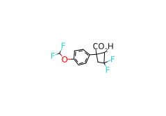 O=C(O)C1(c2ccc(OC(F)F)cc2)CC(F)(F)C1